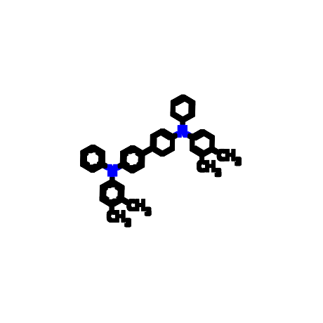 CC1=CC(N(C2=CC=C(c3ccc(N(c4ccccc4)c4ccc(C)c(C)c4)cc3)CC2)C2C=CC=CC2)=CCC1C